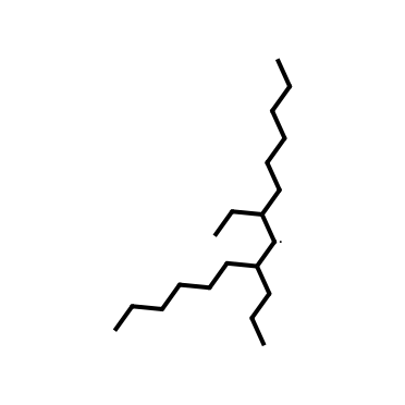 CCCCCCC([CH]C(CCC)CCCCCC)CC